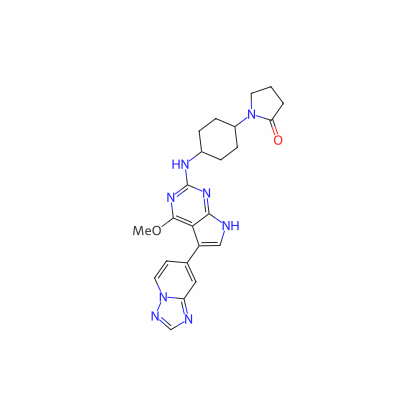 COc1nc(NC2CCC(N3CCCC3=O)CC2)nc2[nH]cc(-c3ccn4ncnc4c3)c12